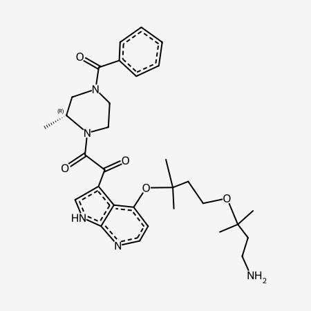 C[C@@H]1CN(C(=O)c2ccccc2)CCN1C(=O)C(=O)c1c[nH]c2nccc(OC(C)(C)CCOC(C)(C)CCN)c12